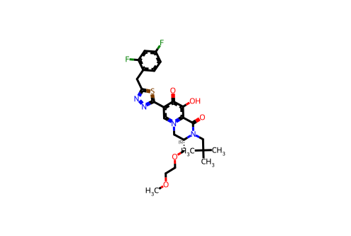 COCCOC[C@@H]1Cn2cc(-c3nnc(Cc4ccc(F)cc4F)s3)c(=O)c(O)c2C(=O)N1CC(C)(C)C